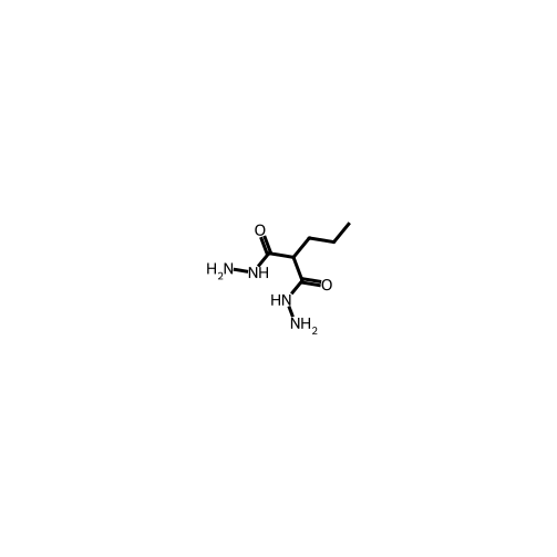 CCCC(C(=O)NN)C(=O)NN